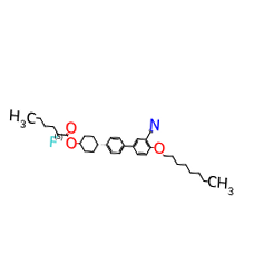 CCCCCCCCOc1ccc(-c2ccc([C@H]3CC[C@H](OC(=O)[C@@H](F)CCCC)CC3)cc2)cc1C#N